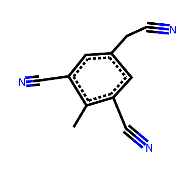 Cc1c(C#N)cc(CC#N)cc1C#N